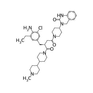 CCc1cc(C[C@@H](CC(=O)N2CCC(N3Cc4ccccc4NC3=O)CC2)C(=O)N2CCC(C3CCN(C)CC3)CC2)cc(Cl)c1N